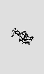 COC(OC)c1ccc2oc(-c3c(F)ccc(-c4ccccc4)c3-c3nncn3C)nc2c1